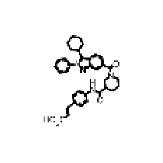 O=C(O)/C=C/c1ccc(NC(=O)C2CCCN(C(=O)c3ccc4c(C5CCCCC5)n(-c5ccccc5)nc4c3)C2)cc1